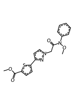 COC(=O)c1ccc(-c2ccn(CC(=O)N(OC)c3ccccc3)n2)s1